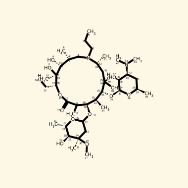 CCCN1C[C@@H](C)[C@@H](O)[C@](C)(O)[C@@H](CC)OC(=O)C(C)[C@H](OC2C[C@@](C)(OC)[C@@H](O)[C@H](C)O2)[C@H](C)[C@@H](O[C@@H]2O[C@H](C)C[C@H](N(C)C)[C@H]2O)[C@@](C)(O)C[C@H]1C